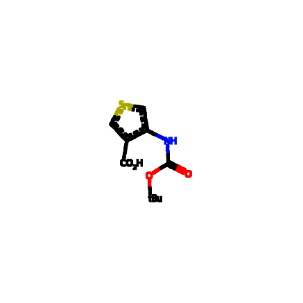 CC(C)(C)OC(=O)Nc1cscc1C(=O)O